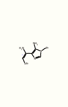 CCC/C=C(/N)c1ncn(C(C)C)c1N